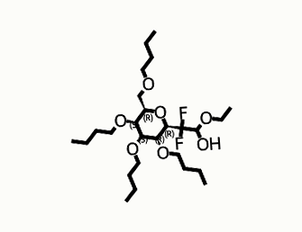 CCCCOC[C@H]1O[C@@H](C(F)(F)C(O)OCC)[C@H](OCCCC)[C@@H](OCCCC)[C@H]1OCCCC